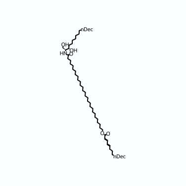 CCCCCCCCCCCCCC=CC=CC(=O)OCCCCCCCCCCCCCCCCCCCCCCCCCCCCC(=O)N[C@@H](CO)[C@H](O)CCCCCCCCCCCCCCCCC